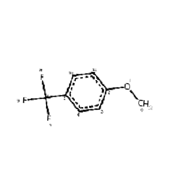 COc1c[c]c(C(F)(F)F)cc1